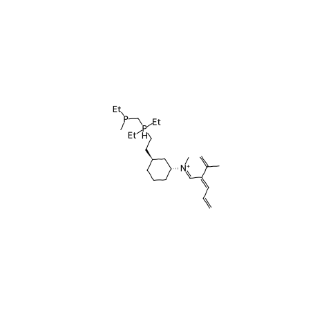 C=C/C=C(\C=[N+](/C)[C@@H]1CCC[C@@H](CC[PH](CC)(CC)CP(C)CC)C1)C(=C)C